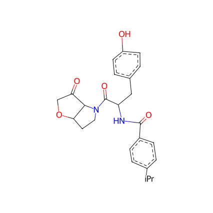 CC(C)c1ccc(C(=O)NC(Cc2ccc(O)cc2)C(=O)N2CCC3OCC(=O)C32)cc1